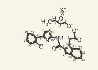 CCCC[O-].O.O=C([O-])Cn1c(C(=O)Nc2nc(-c3ccccc3Cl)cs2)cc2ccccc21.[K+].[K+]